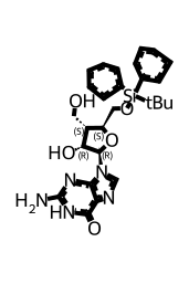 CC(C)(C)[Si](OC[C@H]1O[C@@H](n2cnc3c(=O)[nH]c(N)nc32)[C@H](O)[C@@H]1CO)(c1ccccc1)c1ccccc1